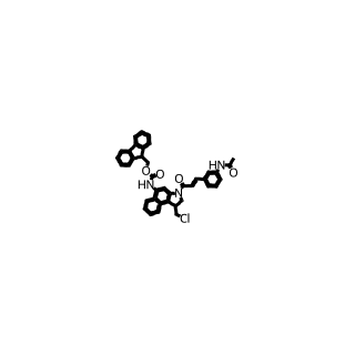 CC(=O)Nc1cccc(C=CC(=O)N2CC(CCl)c3c2cc(NC(=O)OCC2c4ccccc4-c4ccccc42)c2ccccc32)c1